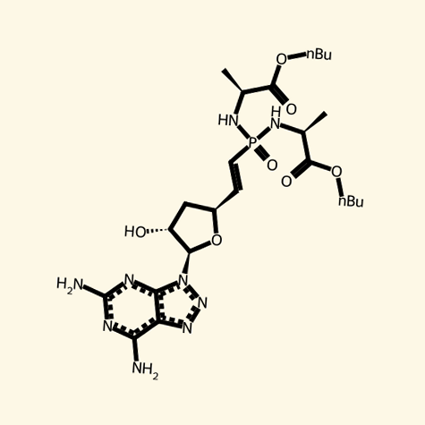 CCCCOC(=O)[C@H](C)NP(=O)(/C=C/[C@@H]1C[C@@H](O)[C@H](n2nnc3c(N)nc(N)nc32)O1)N[C@@H](C)C(=O)OCCCC